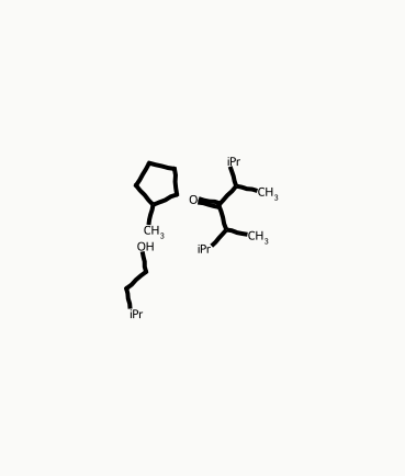 CC(C)C(C)C(=O)C(C)C(C)C.CC(C)CCO.CC1CCCC1